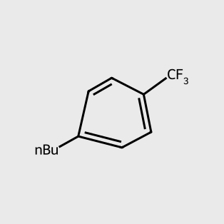 C[CH]CCc1ccc(C(F)(F)F)cc1